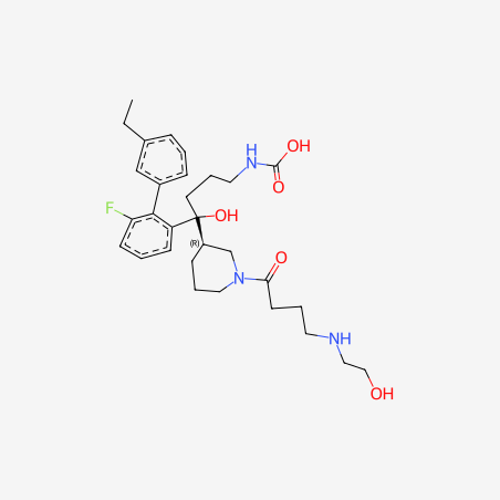 CCc1cccc(-c2c(F)cccc2C(O)(CCCNC(=O)O)[C@@H]2CCCN(C(=O)CCCNCCO)C2)c1